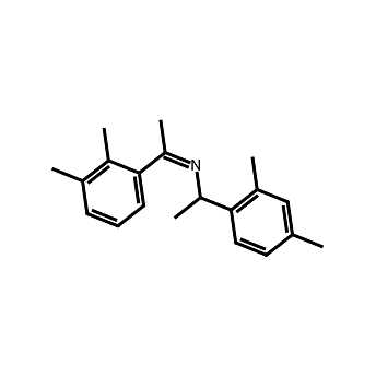 CC(=NC(C)c1ccc(C)cc1C)c1cccc(C)c1C